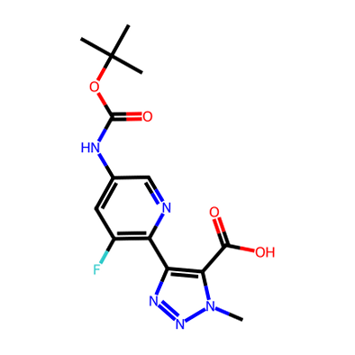 Cn1nnc(-c2ncc(NC(=O)OC(C)(C)C)cc2F)c1C(=O)O